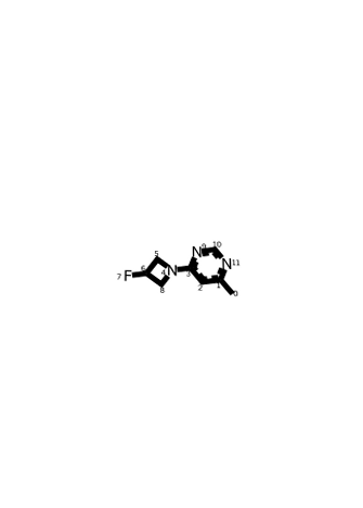 Cc1cc(N2CC(F)C2)ncn1